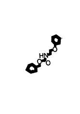 O=C(NCCOc1c[c]ccc1)OCc1ccccc1